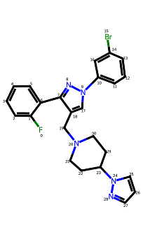 Fc1ccccc1-c1nn(-c2cccc(Br)c2)cc1CN1CCC(n2cccn2)CC1